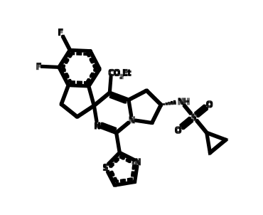 CCOC(=O)C1=C2C[C@H](NS(=O)(=O)C3CC3)CN2C(c2nccs2)=NC12CCc1c2ccc(F)c1F